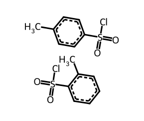 Cc1ccc(S(=O)(=O)Cl)cc1.Cc1ccccc1S(=O)(=O)Cl